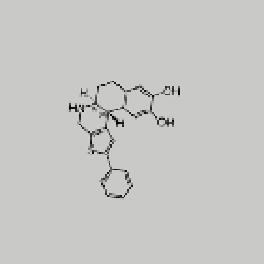 Oc1cc2c(cc1O)[C@@H]1c3cc(-c4ccccc4)sc3CN[C@H]1CC2